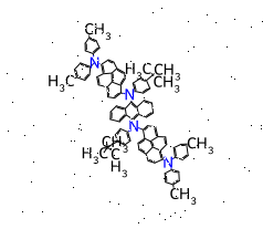 Cc1ccc(N(c2ccc(C)cc2)c2ccc3ccc4c(N(c5ccc(C(C)(C)C)cc5)c5c6ccccc6c(N(c6ccc(C(C)(C)C)cc6)c6ccc7ccc8c(N(c9ccc(C)cc9)c9ccc(C)cc9)ccc9ccc6c7c98)c6ccccc56)ccc5ccc2c3c54)cc1